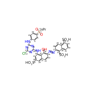 CCCS(=O)(=O)c1ccc(Nc2nc(Cl)nc(Nc3cc(S(=O)(=O)O)cc4ccc(/N=N/c5ccc6c(S(=O)(=O)O)cccc6c5S(=O)(=O)O)c(O)c34)n2)cc1